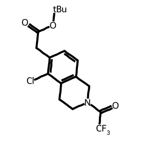 CC(C)(C)OC(=O)Cc1ccc2c(c1Cl)CCN(C(=O)C(F)(F)F)C2